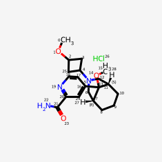 COC1CC(N2C[C@H]3CCC[C@@H](C2)C3(OC)c2ccnc(C(N)=O)c2)C1.Cl